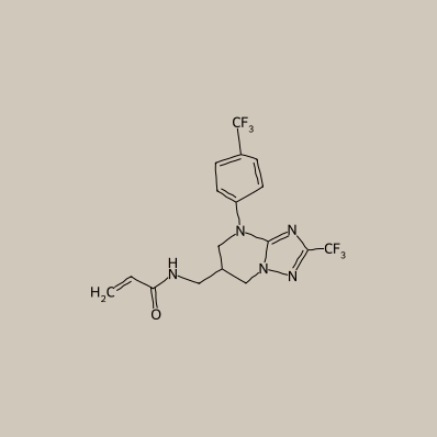 C=CC(=O)NCC1CN(c2ccc(C(F)(F)F)cc2)c2nc(C(F)(F)F)nn2C1